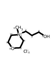 C[N+]1(CCCO)CCOCC1.[Cl-]